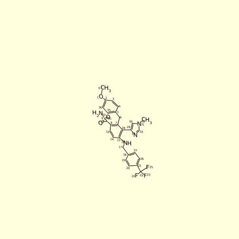 COc1ccc(Cc2c(S(N)(=O)=O)ccc(NCc3ccc(C(F)(F)F)cc3)c2-c2cn(C)cn2)cc1